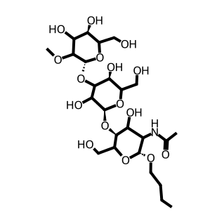 CCCCO[C@@H]1OC(CO)[C@@H](O[C@@H]2OC(CO)[C@H](O)C(O[C@H]3OC(CO)[C@H](O)C(O)C3OC)C2O)C(O)C1NC(C)=O